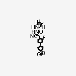 C[C@@H]1[C@H](C)[C@@H]2C[C@@H]1[C@@H](C(=O)N[C@H](C#N)Cc1ccc(-c3ccc(S(C)(=O)=O)cc3)cc1F)N2